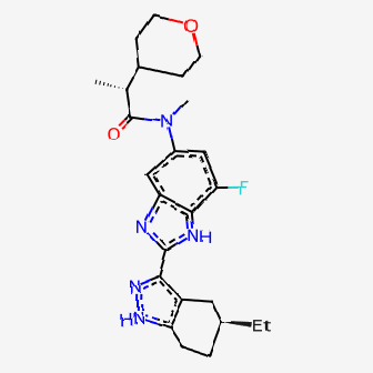 CC[C@H]1CCc2[nH]nc(-c3nc4cc(N(C)C(=O)[C@H](C)C5CCOCC5)cc(F)c4[nH]3)c2C1